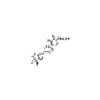 CCCCCCCCOc1ccc(C2OCC(COc3ccc(C)c(F)c3F)CO2)c(F)c1F